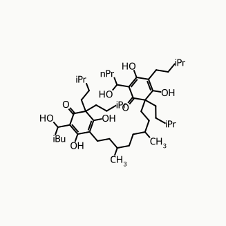 CCCC(O)C1=C(O)C(CCC(C)C)=C(O)C(CCC(C)C)(CCC(C)CCC(C)CCC2=C(O)C(CCC(C)C)(CCC(C)C)C(=O)C(C(O)C(C)CC)=C2O)C1=O